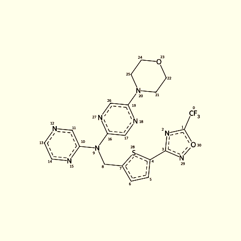 FC(F)(F)c1nc(-c2ccc(CN(c3cnccn3)c3cnc(N4CCOCC4)cn3)s2)no1